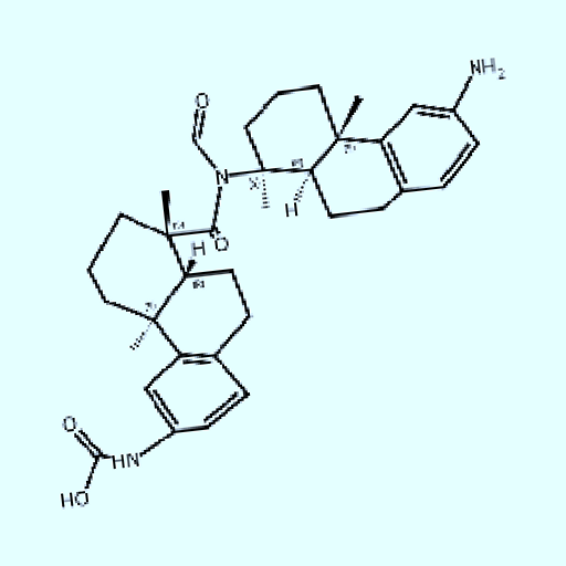 C[C@]1(N(C=O)C(=O)[C@@]2(C)CCC[C@]3(C)c4cc(NC(=O)O)ccc4CC[C@@H]23)CCC[C@]2(C)c3cc(N)ccc3CC[C@@H]12